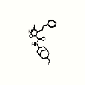 CCC1CC2CC(C1)CC(NC(=O)c1onc(C)c1CCc1ccccc1)C2